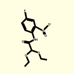 CCOC(OCC)C(=O)Nc1ccc(F)cc1[N+](=O)[O-]